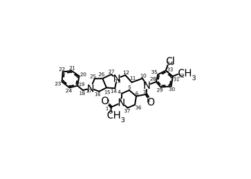 CC(=O)N1CCC(C(=O)N(CCCN2CC3CN(Cc4ccccc4)CC3C2)c2ccc(C)c(Cl)c2)CC1